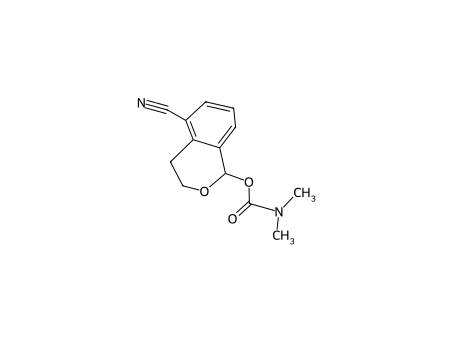 CN(C)C(=O)OC1OCCc2c(C#N)cccc21